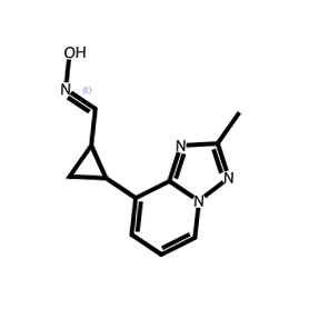 Cc1nc2c(C3CC3/C=N/O)cccn2n1